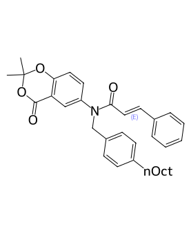 CCCCCCCCc1ccc(CN(C(=O)/C=C/c2ccccc2)c2ccc3c(c2)C(=O)OC(C)(C)O3)cc1